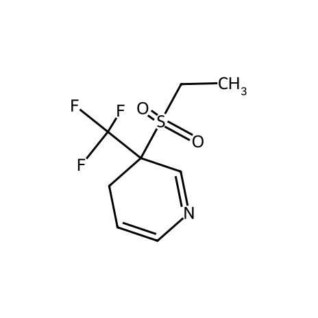 CCS(=O)(=O)C1(C(F)(F)F)C=NC=CC1